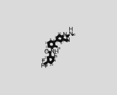 CNc1ncc2cc(-c3cccc(NC(=O)c4cc(C(F)(F)F)ccc4F)c3C)ccc2n1